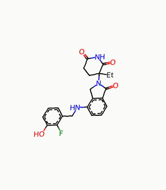 CCC1(N2Cc3c(NCc4cccc(O)c4F)cccc3C2=O)CCC(=O)NC1=O